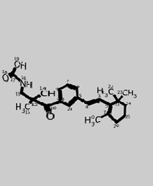 CC1=C(/C=C/c2cccc(C(=O)C(C)(C)CNC(=O)O)c2)C(C)(C)CCC1